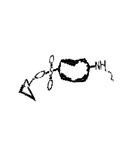 Nc1ccc(S(=O)(=O)ON2CC2)cc1